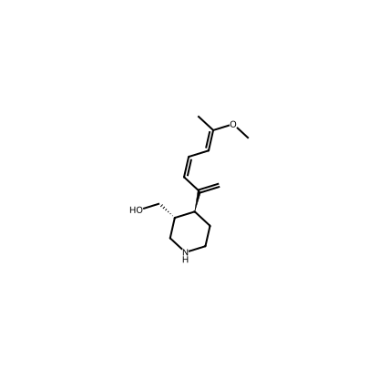 C=C(/C=C\C=C(/C)OC)[C@H]1CCNC[C@@H]1CO